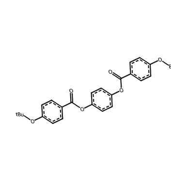 CCOc1ccc(C(=O)Oc2ccc(OC(=O)c3ccc(OC(C)(C)C)cc3)cc2)cc1